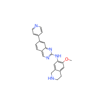 COc1cc2c(cc1Nc1ncc3ccc(-c4ccncc4)cc3n1)CNCC2